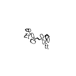 CCC(OC(=O)/C=C/C(=O)OC(CC)c1ccco1)c1ccco1